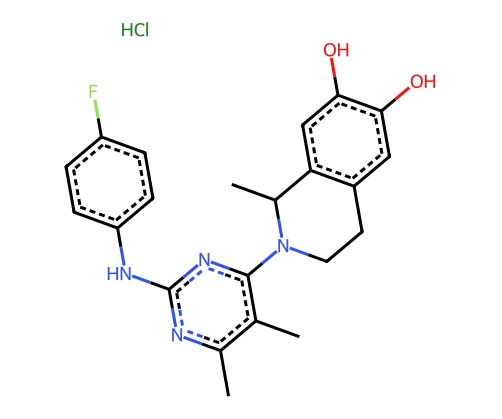 Cc1nc(Nc2ccc(F)cc2)nc(N2CCc3cc(O)c(O)cc3C2C)c1C.Cl